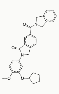 COc1ccc(N2Cc3ccc(C(=O)N4Cc5ccccc5C4)cc3C2=O)cc1OC1CCCC1